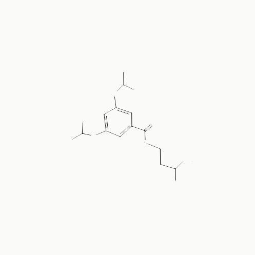 CC(C)CCNC(=O)c1cc(OC(C)C)cc(OC(C)C)c1